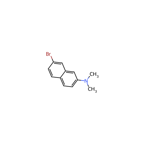 CN(C)c1ccc2ccc(Br)cc2c1